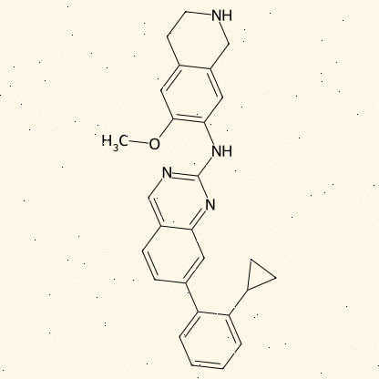 COc1cc2c(cc1Nc1ncc3ccc(-c4ccccc4C4CC4)cc3n1)CNCC2